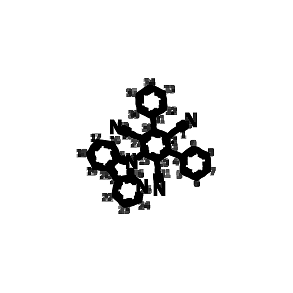 N#Cc1c(-c2ccccc2)c(C#N)c(-n2c3ccccc3c3cccnc32)c(C#N)c1-c1ccccc1